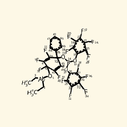 C[CH2][Al]([CH2]C)[O]C1(F)C(F)=C(F)C(OB(Oc2c(F)c(F)c(F)c(F)c2F)Oc2c(F)c(F)c(F)c(F)c2F)(c2ccccc2)C(F)=C1F